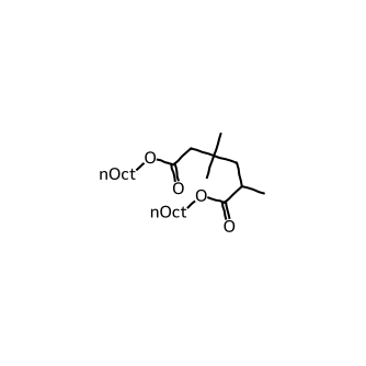 CCCCCCCCOC(=O)CC(C)(C)CC(C)C(=O)OCCCCCCCC